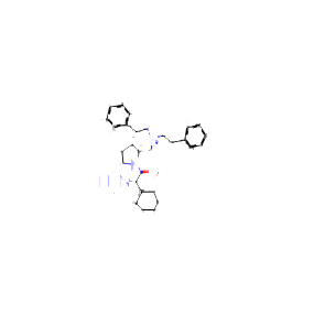 N[C@H](C(=O)N1CCC[C@H]1CN(CCc1ccccc1)CCc1ccccc1)C1CCCCC1